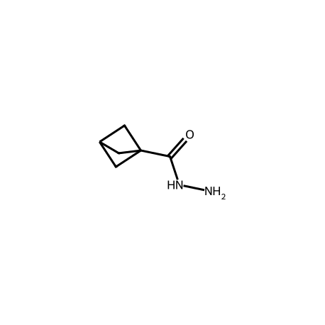 NNC(=O)C12CC(C1)C2